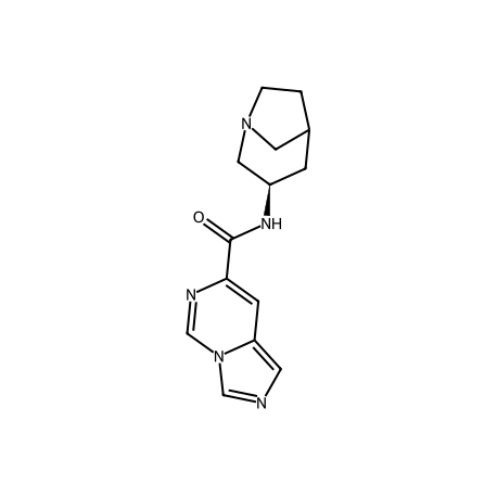 O=C(N[C@@H]1CC2CCN(C2)C1)c1cc2cncn2cn1